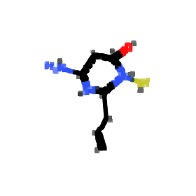 C=CCc1nc(N)cc(=O)n1S